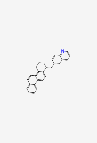 [CH](c1ccc2ncccc2c1)C1CCCc2c1ccc1c2ccc2ccccc21